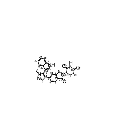 Cn1ncc(-c2ccc3c(c2)CN(C2CCC(=O)NC2=O)C3=O)c1-c1c[nH]c2ccccc12